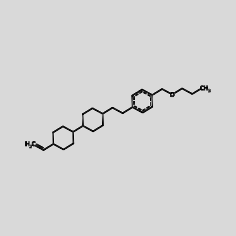 C=CC1CCC(C2CCC(CCc3ccc(COCCC)cc3)CC2)CC1